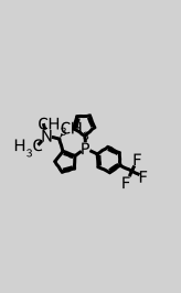 C[C@H](C1=C(P(c2ccc(C(F)(F)F)cc2)C2C=CC=C2)C=CC1)N(C)C